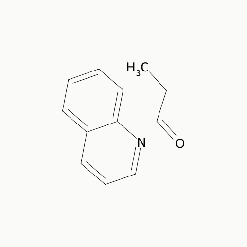 CCC=O.c1ccc2ncccc2c1